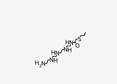 CCCSCC(=O)NCCNCCNCCNCCN